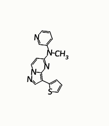 CN(c1cccnc1)c1ccn2ncc(-c3cccs3)c2n1